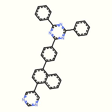 c1ccc(-c2nc(-c3ccccc3)nc(-c3ccc(-c4ccc(-c5cncnc5)c5ccccc45)cc3)n2)cc1